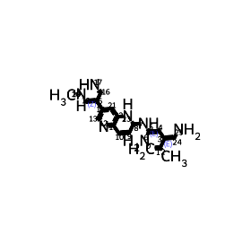 C=C(C)C(/C=C(\N)NC1C=Cc2ncc(/C(C=N)=C/NC)cc2N1)=C/N